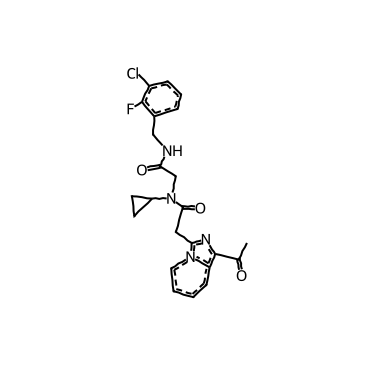 CC(=O)c1nc(CC(=O)N(CC(=O)NCc2cccc(Cl)c2F)C2CC2)n2ccccc12